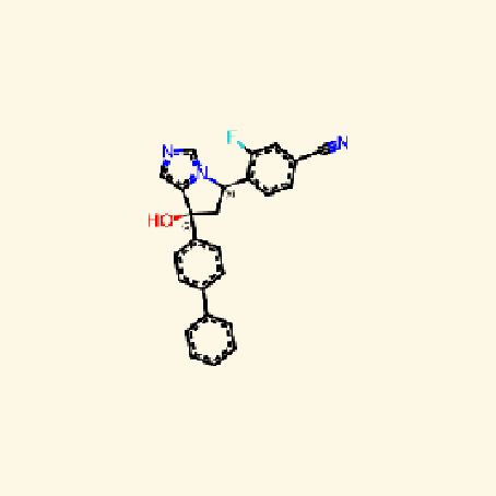 N#Cc1ccc([C@H]2C[C@](O)(c3ccc(-c4ccccc4)cc3)c3cncn32)c(F)c1